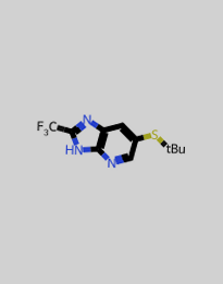 CC(C)(C)Sc1cnc2[nH]c(C(F)(F)F)nc2c1